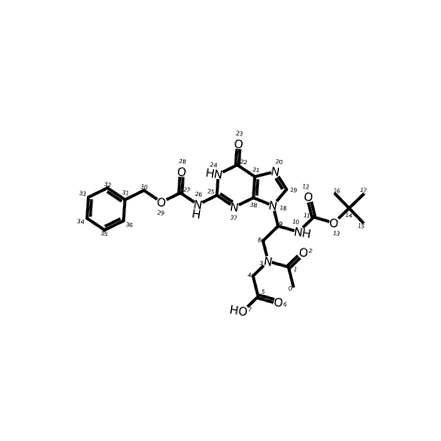 CC(=O)N(CC(=O)O)CC(NC(=O)OC(C)(C)C)n1cnc2c(=O)[nH]c(NC(=O)OCc3ccccc3)nc21